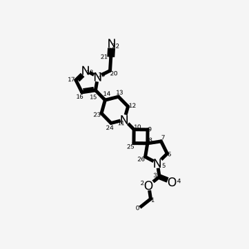 CCOC(=O)N1CCC2(CC(N3CCC(c4ccnn4CC#N)CC3)C2)C1